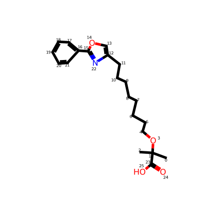 CC(C)(OCCCCCCCCc1coc(-c2ccccc2)n1)C(=O)O